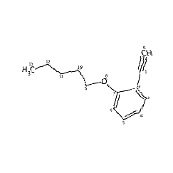 C#Cc1ccccc1OCCCCC